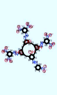 O=[N+]([O-])c1cccc(/N=N/c2cc3c(O)c(c2)Cc2cc(/N=N/c4cc([N+](=O)[O-])cc([N+](=O)[O-])c4)cc(c2O)Cc2cc(/N=N/c4cc([N+](=O)[O-])cc([N+](=O)[O-])c4)cc(c2O)Cc2cc(/N=N/c4cc([N+](=O)[O-])cc([N+](=O)[O-])c4)cc(c2O)C3)c1